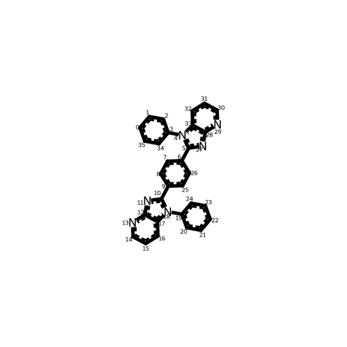 c1ccc(-n2c(-c3ccc(-c4nc5ncccc5n4-c4ccccc4)cc3)nc3ncccc32)cc1